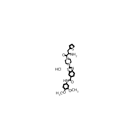 COc1ccc(NC(=O)c2ccc3nc(N4CCN(C(=O)C(N)Cc5cccs5)CC4)sc3c2)cc1OC.Cl